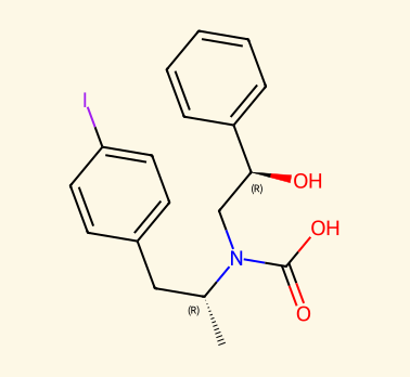 C[C@H](Cc1ccc(I)cc1)N(C[C@H](O)c1ccccc1)C(=O)O